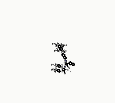 Cc1c(C#N)c(Nc2ccc(S(=O)(=O)O)cc2)nc(Nc2ccc(S(=O)(=O)O)cc2)c1/N=N/c1sc(/N=N/c2ccc3cc(S(=O)(=O)Nc4cc(S(=O)(=O)O)c5cc(S(=O)(=O)O)cc(S(=O)(=O)O)c5c4)ccc3c2)c(-c2ccc3ccccc3c2)c1C#N